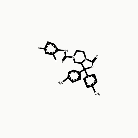 Cc1ccc(C2(c3ccc(C)cc3)OC(=O)N3CCN(C(=O)Nc4ccc(F)cc4F)CC32)cc1